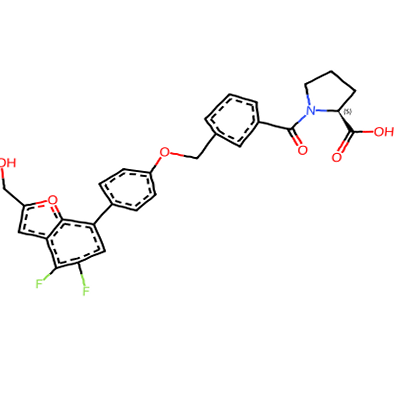 O=C(O)[C@@H]1CCCN1C(=O)c1cccc(COc2ccc(-c3cc(F)c(F)c4cc(CO)oc34)cc2)c1